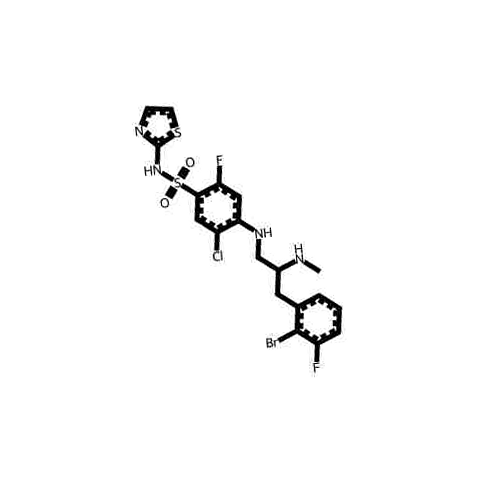 CNC(CNc1cc(F)c(S(=O)(=O)Nc2nccs2)cc1Cl)Cc1cccc(F)c1Br